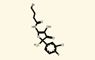 CC1(c2ccc(F)c(Cl)c2)OC(NC(=O)CCCBr)=C(O)C1=O